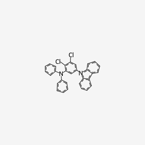 Clc1cc(-n2c3ccccc3c3ccccc32)cc(N(c2ccccc2)c2ccccc2)c1Cl